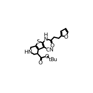 CC(C)(C)OC(=O)C1CNCc2sc(NC(=O)CCc3ccco3)c(C#N)c21